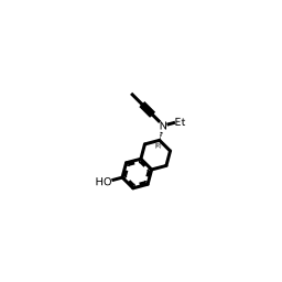 CC#CN(CC)[C@@H]1CCc2ccc(O)cc2C1